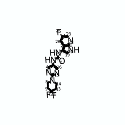 O=C(Nc1cnc(N2CCC(F)(F)CC2)nc1)Nc1c[nH]c2ncc(F)cc12